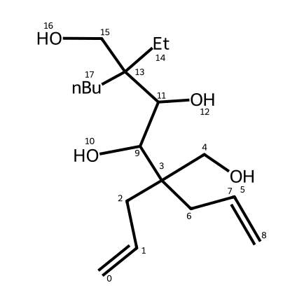 C=CCC(CO)(CC=C)C(O)C(O)C(CC)(CO)CCCC